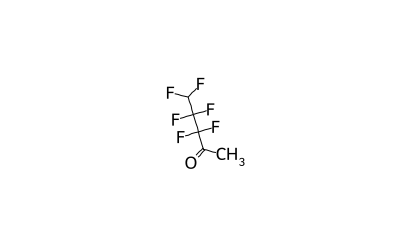 CC(=O)C(F)(F)C(F)(F)C(F)F